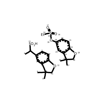 CC(c1ccc2c(c1)C(C)(C)CO2)S(=O)(=O)O.CCS(=O)(=O)Oc1ccc2c(c1)C(C)(C)CO2